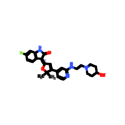 CC1(C)O/C(=C2/C(=O)Nc3cc(F)ccc32)C=C1c1ccnc(NCCN2CCC(O)CC2)c1